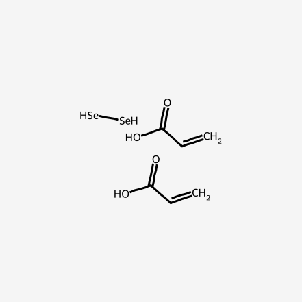 C=CC(=O)O.C=CC(=O)O.[SeH][SeH]